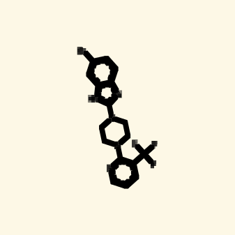 FC(F)(F)c1cccnc1N1CCN(c2nc3ccc(Br)cc3[nH]2)CC1